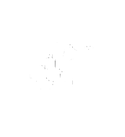 CC[C@H](C1CC1)n1c(=O)c(C)nc2c(-c3ccc(OC)nc3C)ncnc21